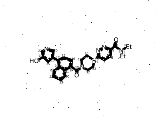 CCN(CC)C(=O)c1ccc(N2CCN(C(=O)c3ccc(-c4cncc(O)c4)c4ccccc34)CC2)nn1